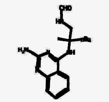 CCCCC(C)(CNC=O)Nc1nc(N)nc2ccccc12